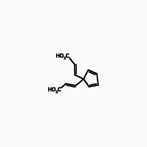 O=C(O)C=CC1(C=CC(=O)O)C=CC=C1